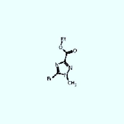 CCOC(=O)c1nc(Br)n(C)n1